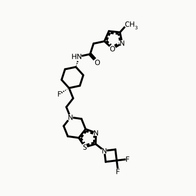 Cc1cc(CC(=O)N[C@H]2CC[C@](F)(CCN3CCc4sc(N5CC(F)(F)C5)nc4C3)CC2)on1